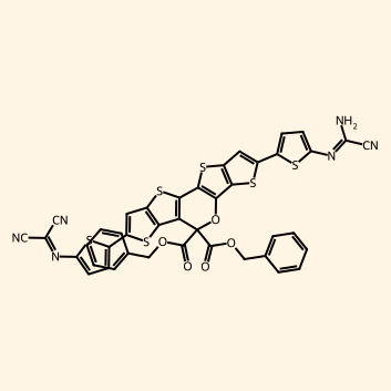 N#CC(C#N)=Nc1ccc(-c2cc3sc4c(c3s2)C(C(=O)OCc2ccccc2)(C(=O)OCc2ccccc2)Oc2c-4sc3cc(-c4ccc(/N=C(\N)C#N)s4)sc23)s1